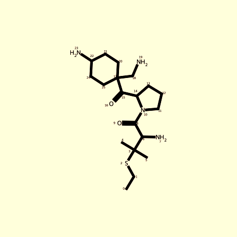 CCSC(C)(C)C(N)C(=O)N1CCCC1C(=O)C1(CN)CCC(N)CC1